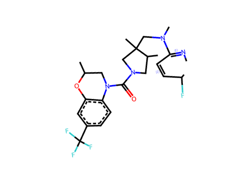 C/N=C(\C=C/C(C)F)N(C)CC1(C)CN(C(=O)N2CC(C)Oc3cc(C(F)(F)F)ccc32)CC1C